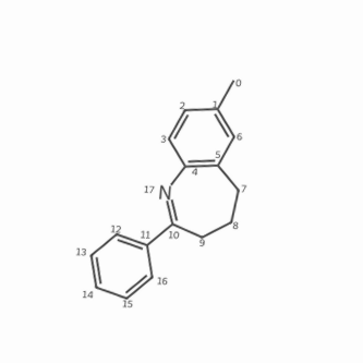 Cc1ccc2c(c1)CCCC(c1ccccc1)=N2